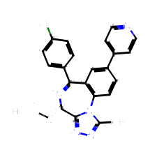 Cc1nnc2n1-c1ccc(-c3ccncc3)cc1C(c1ccc(Cl)cc1)=N[C@H]2CC(=O)O